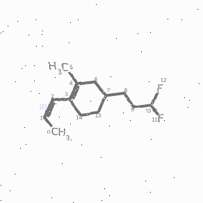 C/C=C\C1=C(C)CC(CCC(F)F)CC1